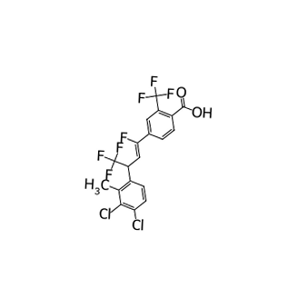 Cc1c(C(C=C(F)c2ccc(C(=O)O)c(C(F)(F)F)c2)C(F)(F)F)ccc(Cl)c1Cl